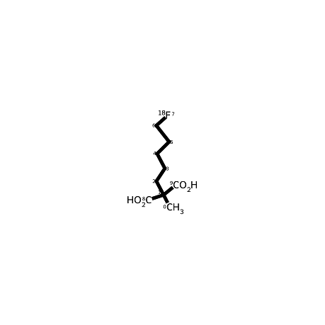 CC(CCCCC[18F])(C(=O)O)C(=O)O